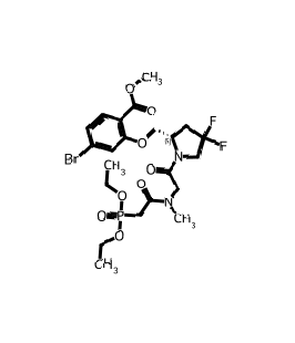 CCOP(=O)(CC(=O)N(C)CC(=O)N1CC(F)(F)C[C@H]1COc1cc(Br)ccc1C(=O)OC)OCC